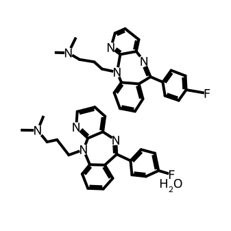 CN(C)CCCN1c2ccccc2C(c2ccc(F)cc2)=Nc2cccnc21.CN(C)CCCN1c2ccccc2C(c2ccc(F)cc2)=Nc2cccnc21.O